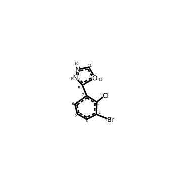 Clc1c(Br)cccc1-c1nnco1